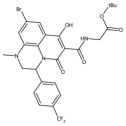 CN1CC(c2ccc(C(F)(F)F)cc2)n2c(=O)c(C(=O)NCC(=O)OC(C)(C)C)c(O)c3cc(Br)cc1c32